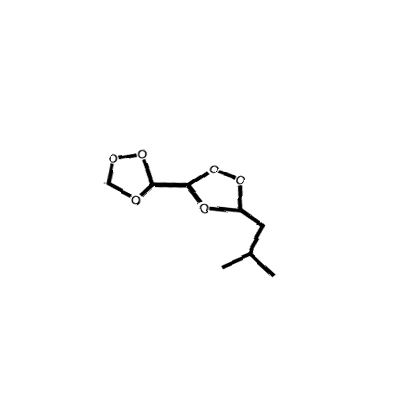 CC(C)CC1OOC(C2O[CH]OO2)O1